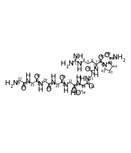 N=C(N)NCCC[C@H](NC(=O)CNC(=O)[C@H](CO)NC(=O)CNC(=O)CNC(=O)CNC(=O)CNC(=O)CN)C(=O)N1CCC[C@H]1C(N)=O